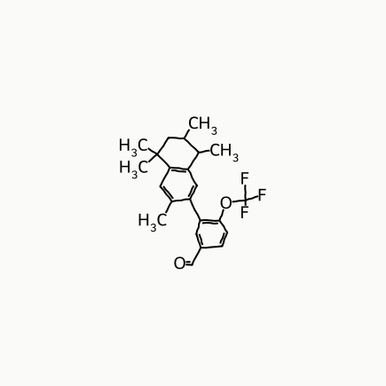 Cc1cc2c(cc1-c1cc(C=O)ccc1OC(F)(F)F)C(C)C(C)CC2(C)C